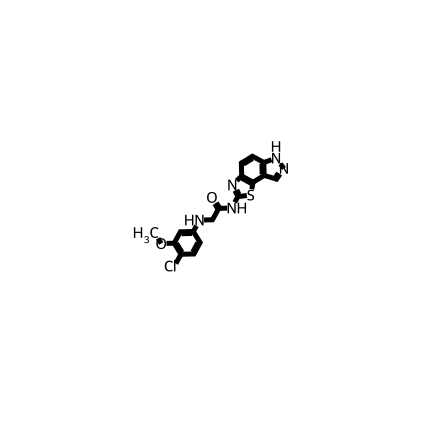 COc1cc(NCC(=O)Nc2nc3ccc4[nH]ncc4c3s2)ccc1Cl